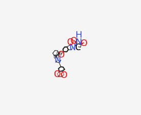 O=C1CCC(N2Cc3cc(O[C@@H]4CCCC[C@H]4N4CC(c5ccc6c(c5)OCCO6)C4)ccc3C2=O)C(=O)N1